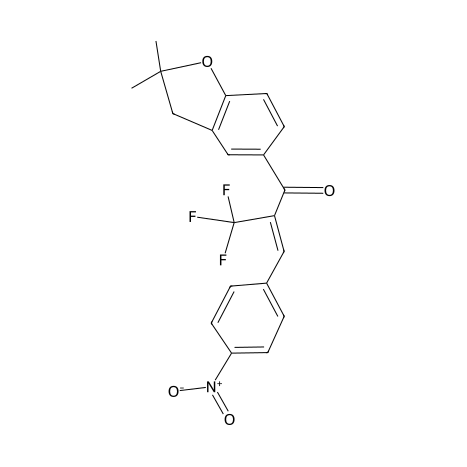 CC1(C)Cc2cc(C(=O)C(=Cc3ccc([N+](=O)[O-])cc3)C(F)(F)F)ccc2O1